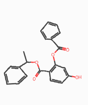 CC(OC(=O)c1ccc(O)cc1OC(=O)c1ccccc1)c1ccccc1